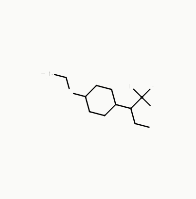 CCC(C1CCC(SCN)CC1)C(F)(F)F